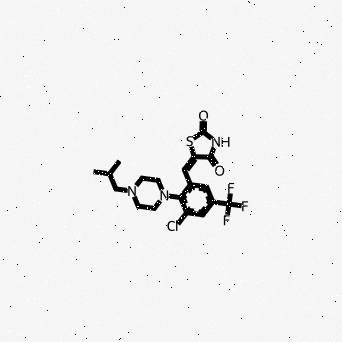 CC(C)CN1CCN(c2c(Cl)cc(C(F)(F)F)cc2C=C2SC(=O)NC2=O)CC1